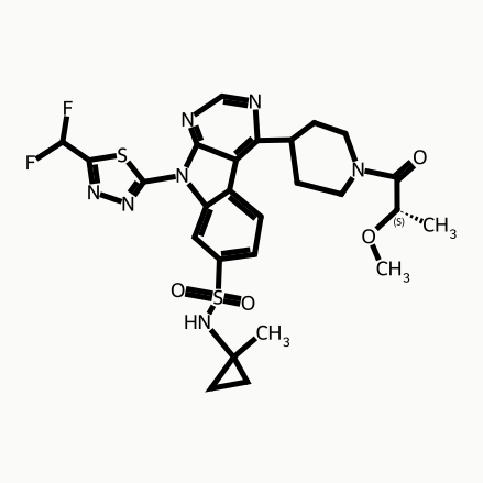 CO[C@@H](C)C(=O)N1CCC(c2ncnc3c2c2ccc(S(=O)(=O)NC4(C)CC4)cc2n3-c2nnc(C(F)F)s2)CC1